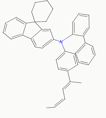 C/C=C\C=C(/C)c1ccc(N(c2ccc3c(c2)C2(CCCCC2)c2ccccc2-3)c2ccccc2-c2ccccc2)cc1